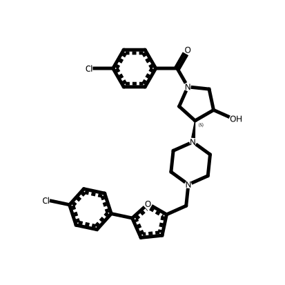 O=C(c1ccc(Cl)cc1)N1CC(O)[C@@H](N2CCN(Cc3ccc(-c4ccc(Cl)cc4)o3)CC2)C1